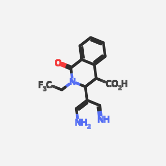 N=C/C(=C\N)C1C(C(=O)O)c2ccccc2C(=O)N1CC(F)(F)F